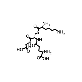 NCCCC[C@H](N)C(=O)SC[C@H](NC(=O)CC[C@H](N)C(=O)O)C(=O)NCC(=O)O